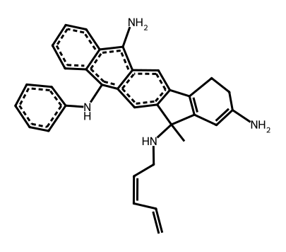 C=C/C=C\CNC1(C)C2=C(CCC(N)=C2)c2cc3c(N)c4ccccc4c(Nc4ccccc4)c3cc21